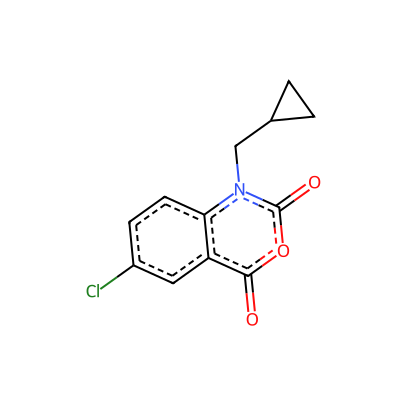 O=c1oc(=O)n(CC2CC2)c2ccc(Cl)cc12